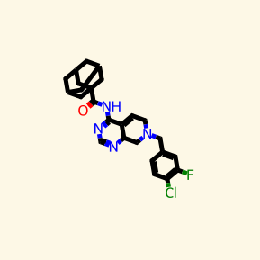 O=C(NC1=NC=NC2CN(Cc3ccc(Cl)c(F)c3)CC=C12)C12CC3CC(CC(C3)C1)C2